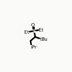 CCP(=O)(CC)C(C[C](C)C)C(C)(C)C